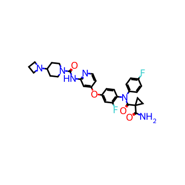 NC(=O)C1(C(=O)N(c2ccc(F)cc2)c2ccc(Oc3ccnc(NC(=O)N4CCC(N5CCC5)CC4)c3)cc2F)CC1